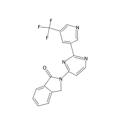 O=C1c2ccccc2CN1c1ccnc(-c2cncc(C(F)(F)F)c2)n1